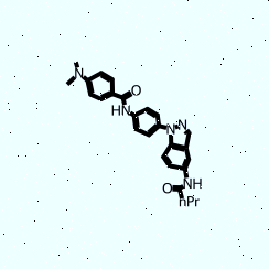 CCCC(=O)Nc1ccc2c(cnn2-c2ccc(NC(=O)c3ccc(N(C)C)cc3)cc2)c1